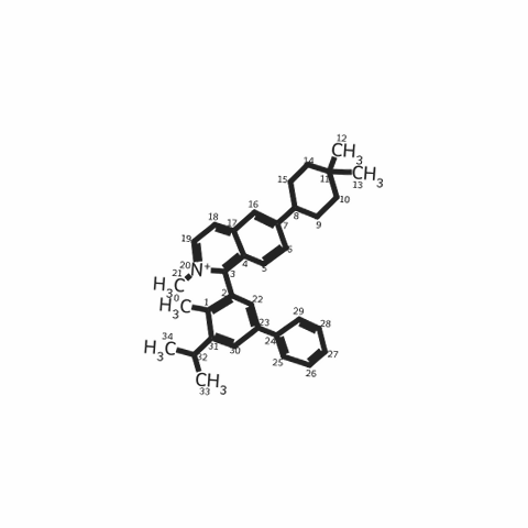 Cc1c(-c2c3ccc(C4CCC(C)(C)CC4)cc3cc[n+]2C)cc(-c2ccccc2)cc1C(C)C